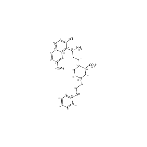 COc1ccc2ncc(Cl)c([C@H](N)CCC3CCN(CCSc4ccccn4)CC3C(=O)O)c2c1